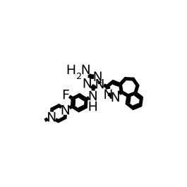 CN1CCN(c2ccc(Nc3nc(N)nn3-c3cc4c(nn3)-c3ccccc3CCC4)cc2F)CC1